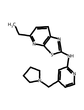 CCc1ccc2nc(Nc3cc(CN4CCCC4)ccn3)sc2n1